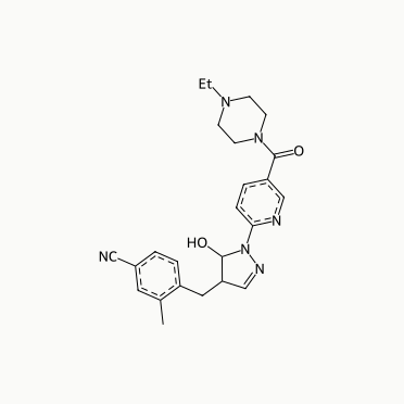 CCN1CCN(C(=O)c2ccc(N3N=CC(Cc4ccc(C#N)cc4C)C3O)nc2)CC1